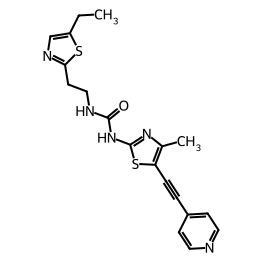 CCc1cnc(CCNC(=O)Nc2nc(C)c(C#Cc3ccncc3)s2)s1